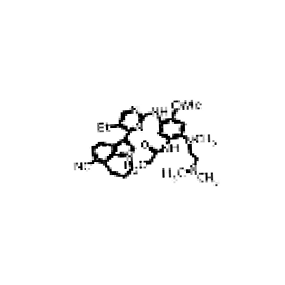 C=CC(=O)Nc1cc(Nc2ncc(CC)c(-c3cn4c5c(c(C#N)ccc35)CCC4)n2)c(OC)cc1N(C)CCN(C)C